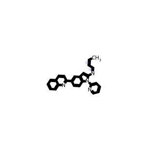 C/C=C\C=N/c1cc2cc(-c3ccc4ccccc4n3)ccc2n1-c1ccccn1